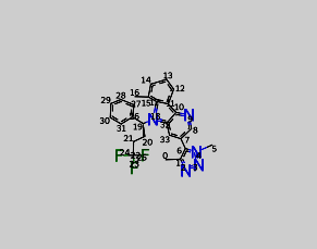 Cc1nnn(C)c1-c1cnc2c3cccc(C)c3n([C@@H](CCC(F)(F)F)c3ccccc3)c2c1